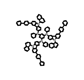 c1ccc(-c2ccc(-c3ccc4c(c3)c3cc(N(c5ccccc5)c5cc(N(c6ccccc6)c6ccc7c(c6)c6cc(-c8ccc(-c9ccccc9)cc8)ccc6n7-c6cccc7ccccc67)cc(N(c6ccccc6)c6ccc7c(c6)c6cc(-c8ccc(-c9ccccc9)cc8)ccc6n7-c6cccc7ccccc67)c5)ccc3n4-c3cccc4ccccc34)cc2)cc1